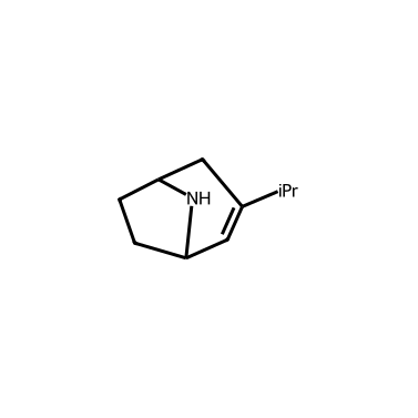 CC(C)C1=CC2CCC(C1)N2